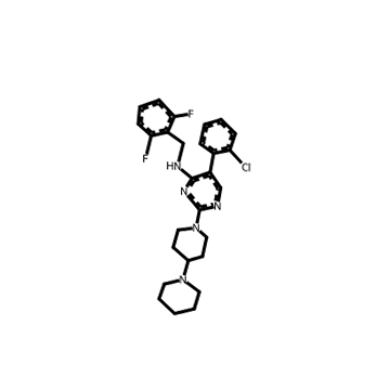 Fc1cccc(F)c1CNc1nc(N2CCC(N3CCCCC3)CC2)ncc1-c1ccccc1Cl